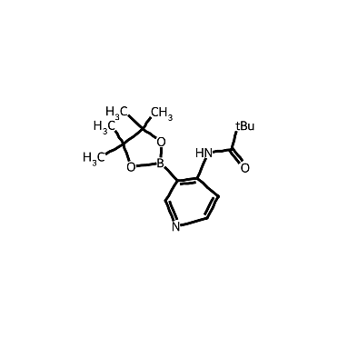 CC(C)(C)C(=O)Nc1ccncc1B1OC(C)(C)C(C)(C)O1